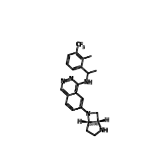 Cc1c(C(C)Nc2nncc3ccc(N4C[C@@H]5NCC[C@@H]54)cc23)cccc1C(F)(F)F